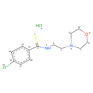 Cl.S=C(NCCN1CCOCC1)c1ccc(Cl)cc1